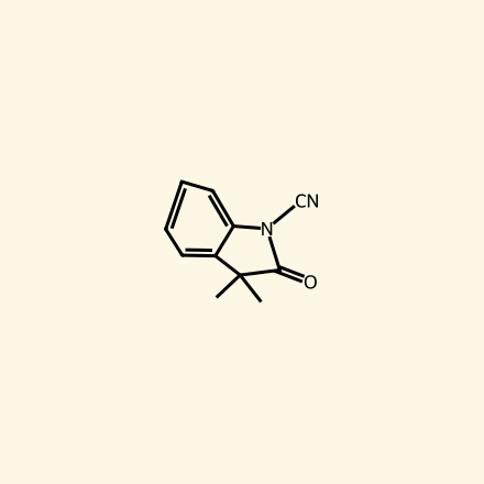 CC1(C)C(=O)N(C#N)c2ccccc21